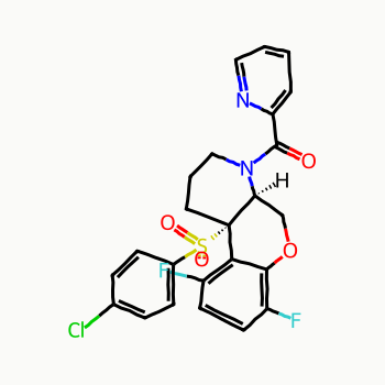 O=C(c1ccccn1)N1CCC[C@]2(S(=O)(=O)c3ccc(Cl)cc3)c3c(F)ccc(F)c3OC[C@H]12